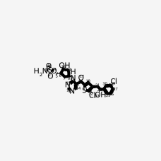 NS(=O)(=O)OC[C@H]1C[C@@H](Nc2ncncc2C(=O)c2cc(C[C@@H](O)c3cccc(Cl)c3)c(Cl)s2)C[C@@H]1O